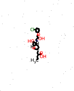 CCCC(CC[C@H]1CC[C@@H]2[C@@H](/C=C/[C@H](O)COc3cccc(Cl)c3)[C@H](O)C[C@@H]2OC1)C(=O)O